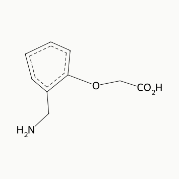 NCc1ccccc1OCC(=O)O